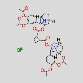 CC(=O)Oc1ccc(C[N+]2(C)[C@@H]3CC[C@H]2CC(OC(=O)C2CCC2C(=O)OC2C[C@H]4CC[C@@H](C2)[N+]4(C)Cc2ccc(OC(C)=O)c(OC(C)=O)c2)C3)cc1OC(C)=O.[Br-].[Br-]